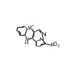 N#Cc1cnn2c([N+](=O)[O-])ccc2c1Nc1ccccc1